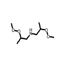 COOC(C)CNCC(C)OOC